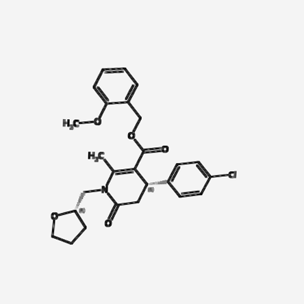 COc1ccccc1COC(=O)C1=C(C)N(C[C@@H]2CCCO2)C(=O)C[C@H]1c1ccc(Cl)cc1